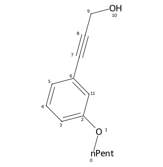 CCCCCOc1cccc(C#CCO)c1